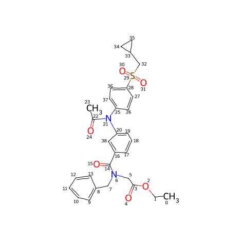 CCOC(=O)CN(Cc1ccccc1)C(=O)c1cccc(N(C(C)=O)c2ccc(S(=O)(=O)CC3CC3)cc2)c1